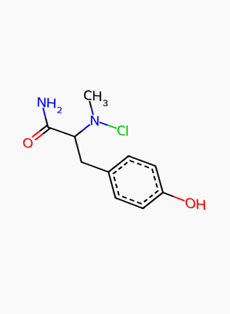 CN(Cl)C(Cc1ccc(O)cc1)C(N)=O